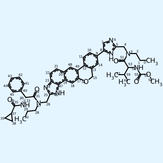 CCCN(Cc1ncc(-c2ccc3c(c2)COc2cc4c(ccc5nc(CN(CCC)C(=O)[C@H](NC(=O)C6CC6)c6ccccc6)[nH]c54)cc2-3)[nH]1)C(=O)C(NC(=O)OC)C(C)C